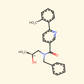 O=C(O)c1ccccc1-c1ccc(C(=O)N(Cc2ccccc2)C[C@@H](O)C(=O)O)cn1